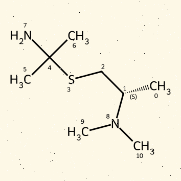 C[C@@H](CSC(C)(C)N)N(C)C